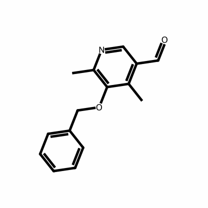 Cc1ncc(C=O)c(C)c1OCc1ccccc1